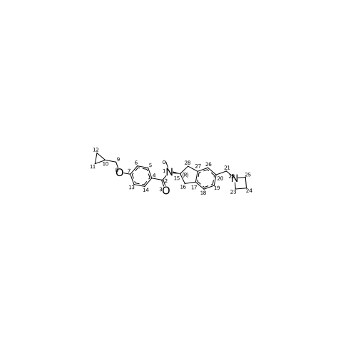 CN(C(=O)c1ccc(OCC2CC2)cc1)[C@@H]1Cc2ccc(CN3CCC3)cc2C1